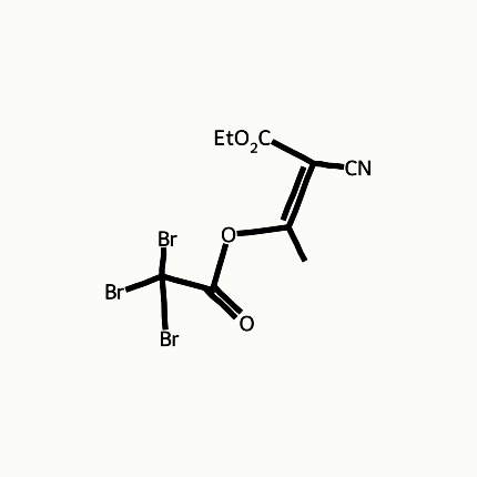 CCOC(=O)/C(C#N)=C(/C)OC(=O)C(Br)(Br)Br